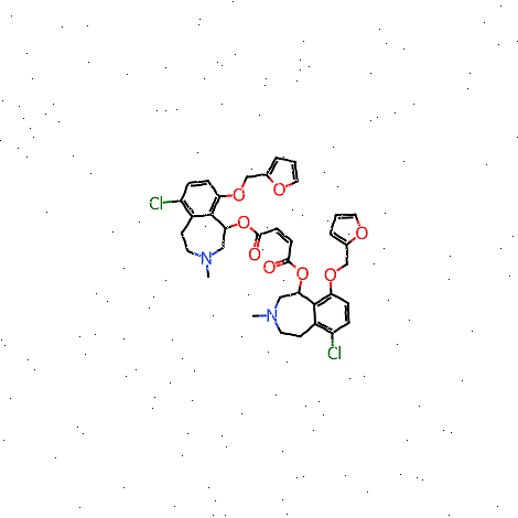 CN1CCc2c(Cl)ccc(OCc3ccco3)c2C(OC(=O)/C=C\C(=O)OC2CN(C)CCc3c(Cl)ccc(OCc4ccco4)c32)C1